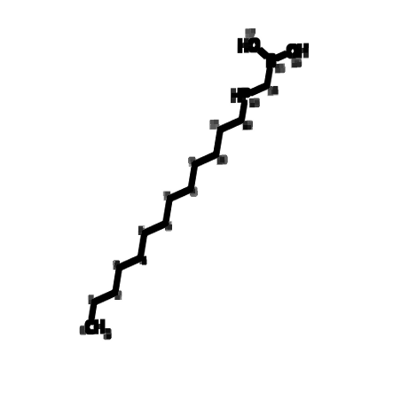 CCCCCCCCCCCCCPCB(O)O